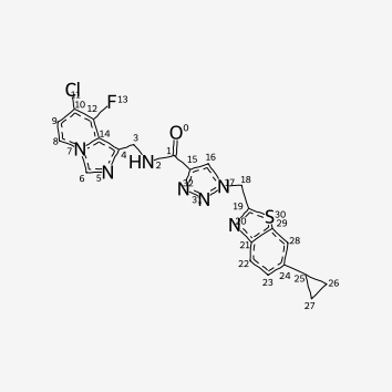 O=C(NCc1ncn2ccc(Cl)c(F)c12)c1cn(Cc2nc3ccc(C4CC4)cc3s2)nn1